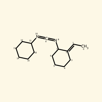 CC=C1CCCCC1N=C=NC1CCCCC1